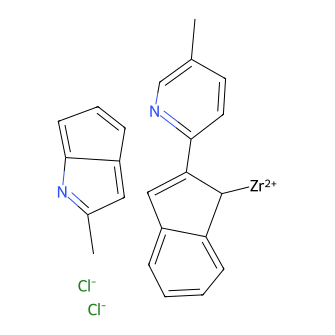 CC1=NC2=CC=CC2=C1.Cc1ccc(C2=Cc3ccccc3[CH]2[Zr+2])nc1.[Cl-].[Cl-]